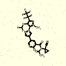 CC(=O)N(C(=O)c1cc(-c2cnn(-c3c(OC(F)F)c(C(F)(F)C(F)(F)F)nn3C)c2)cnc1Cl)C1(C#N)CC1